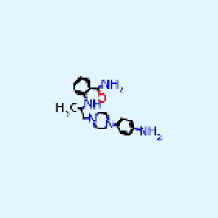 CC(CN1CCN(c2ccc(N)cc2)CC1)Nc1ccccc1C(N)=O